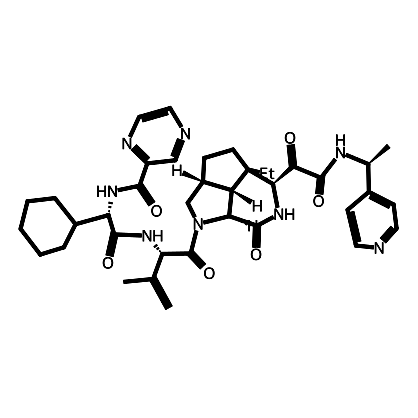 C=C(C)[C@H](NC(=O)[C@@H](NC(=O)c1cnccn1)C1CCCCC1)C(=O)N1C[C@@H]2CCC3(CC)[C@@H]2[C@H]1C(=O)N[C@@H]3C(=O)C(=O)N[C@@H](C)c1ccncc1